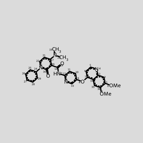 COc1cc2nccc(Oc3ccc(NC(=O)c4c(N(C)C)ccn(-c5ccccc5)c4=O)nc3)c2cc1OC